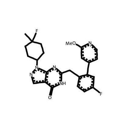 COc1cc(-c2cc(F)ccc2Cc2nc3c(cnn3C3CCC(C)(F)CC3)c(=O)[nH]2)ccn1